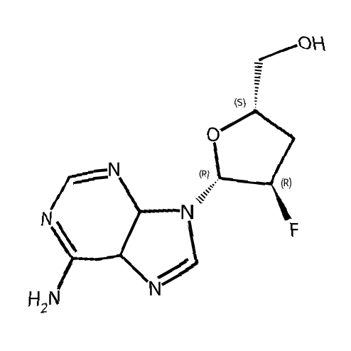 NC1=NC=NC2C1N=CN2[C@@H]1O[C@H](CO)C[C@H]1F